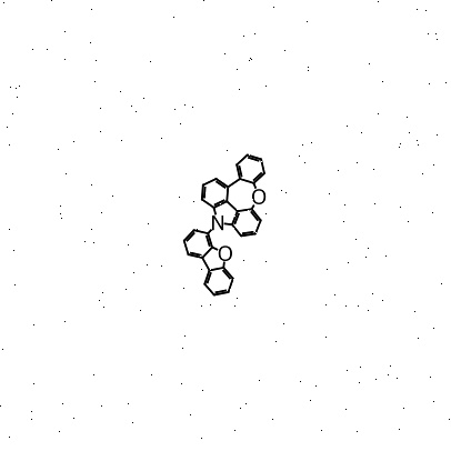 c1ccc2c(c1)oc1c(-n3c4cccc5oc6ccccc6c6cccc3c6c54)cccc12